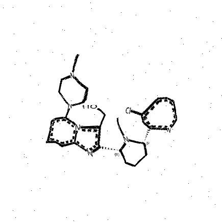 CN1CCN(c2cccc3nc([C@H]4CCC[C@@H](c5ncccc5Cl)N4C)c(CO)n23)CC1